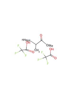 CCCCCCCC(C)C(=O)OC.O=C(O)C(F)(F)F.O=C(O)C(F)(F)F